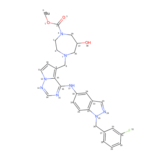 CC(C)(C)OC(=O)N1CCN(Cc2ccn3ncnc(Nc4ccc5c(cnn5Cc5cccc(F)c5)c4)c23)CC(O)C1